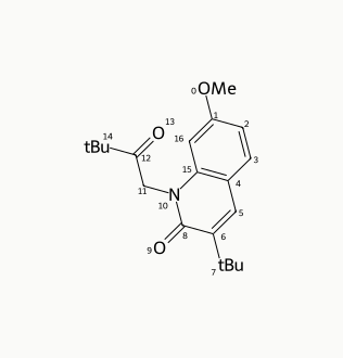 COc1ccc2cc(C(C)(C)C)c(=O)n(CC(=O)C(C)(C)C)c2c1